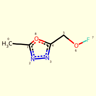 Cc1nnc(COF)o1